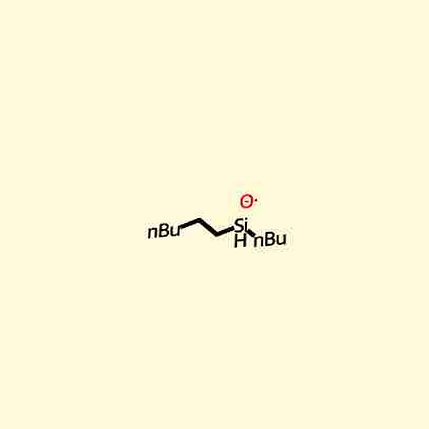 CCCCCC[SiH]([O])CCCC